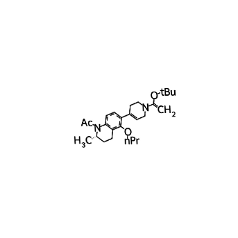 C=C(OC(C)(C)C)N1CC=C(c2ccc3c(c2OCCC)CC[C@H](C)N3C(C)=O)CC1